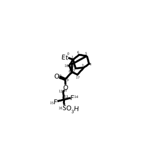 CCC12CC3CC(C1)CC(C(=O)OCC(F)(F)S(=O)(=O)O)(C3)C2